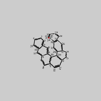 c1ccc2cc3c(ccc4ccc5ccc6cc7ccc8ccccc8c7cc6c5c43)cc2c1